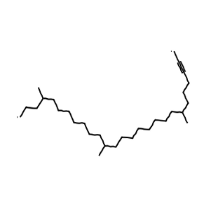 [CH2]C#CCCCC(C)CCCCCCCCC(C)CCCCCCCC(C)CC[CH2]